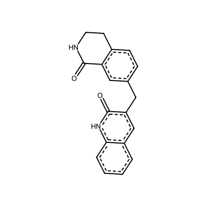 O=C1NCCc2ccc(Cc3cc4ccccc4[nH]c3=O)cc21